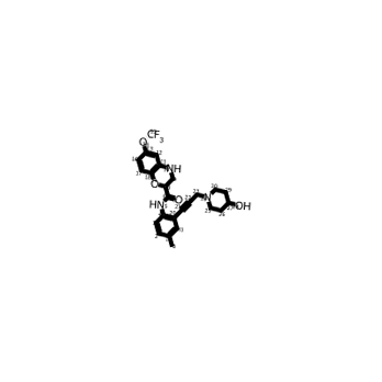 Cc1ccc(NC(=O)C2CNc3cc(OC(F)(F)F)ccc3O2)c(C#CCN2CCC(O)CC2)c1